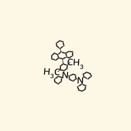 Cc1cc(N(c2ccccc2)c2ccc(N(c3ccccc3)c3ccccc3)cc2)c(C)cc1-c1c2ccccc2c(-c2ccccc2)c2ccccc12